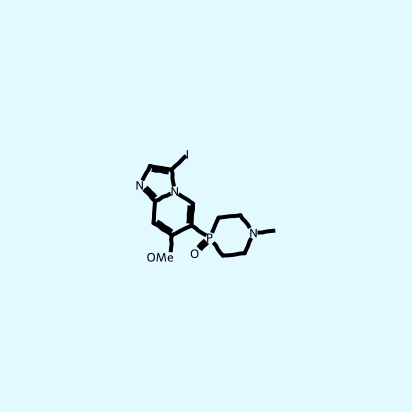 COc1cc2ncc(I)n2cc1P1(=O)CCN(C)CC1